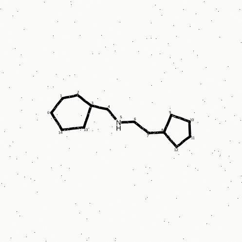 C1CCC(CNCCC2CCCC2)CC1